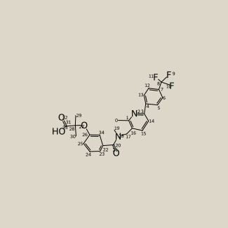 Cc1nc(-c2ccc(C(F)(F)F)cc2)ccc1CN(C)C(=O)c1cccc(OC(C)(C)C(=O)O)c1